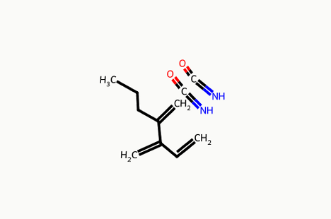 C=CC(=C)C(=C)CCC.N=C=O.N=C=O